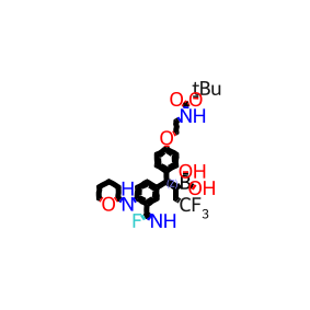 CC(C)(C)OC(=O)NCCOc1ccc(/C(=C(/CC(F)(F)F)B(O)O)c2ccc(NC3CCCCO3)c(C(=N)F)c2)cc1